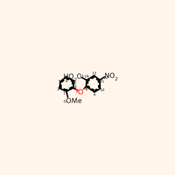 COc1ccccc1Oc1ccc([N+](=O)[O-])cc1C(=O)O